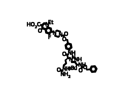 CCCC[C@H](NC(=O)OCc1ccccc1)C1=CN([C@@H](CCCNC(N)=O)C(=O)Nc2ccc(COC(=O)N3CCN(c4cc5c(cc4F)c(=O)c(C(=O)O)cn5CC)CC3)cc2)NN1